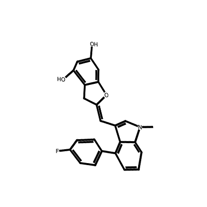 Cn1cc(C=C2Cc3c(O)cc(O)cc3O2)c2c(-c3ccc(F)cc3)cccc21